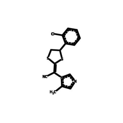 Cc1cncn1C(C#N)=C1SCC(c2ccccc2Cl)S1